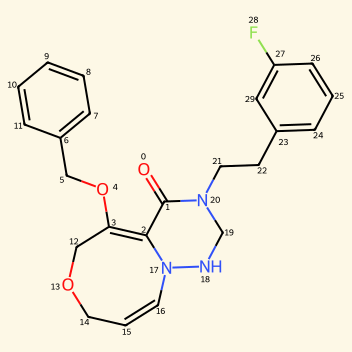 O=C1/C2=C(\OCc3ccccc3)COC/C=C\N2NCN1CCc1cccc(F)c1